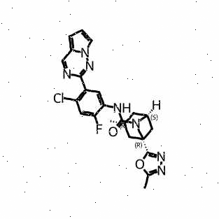 Cc1nnc([C@@]23C[C@H](C)C[C@@H](C2)N3C(=O)Nc2cc(-c3ncc4cccn4n3)c(Cl)cc2F)o1